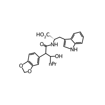 CCCC(O)C(C(=O)N[C@@H](Cc1c[nH]c2ccccc12)C(=O)O)c1ccc2c(c1)OCO2